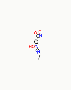 CC#CCn1cc(N2Cc3cc(-c4cnc(OC)c(OC)c4)ccc3C2O)cn1